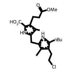 CCCCc1[nH]c(Cc2[nH]c(C(=O)O)c(CCC(=O)OC)c2C)c(C)c1CCCl